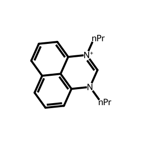 CCCN1C=[N+](CCC)c2cccc3cccc1c23